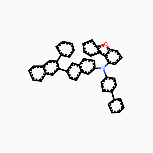 c1ccc(-c2ccc(N(c3ccc4cc(-c5cc6ccccc6cc5-c5ccccc5)ccc4c3)c3cccc4oc5ccccc5c34)cc2)cc1